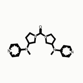 CN(c1ccncc1)C1CCN(C(=O)N2CCC(N(C)c3ccncc3)C2)C1